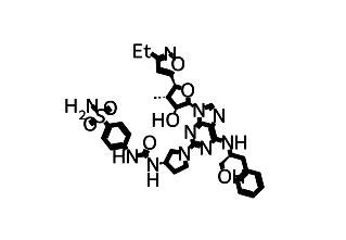 CCc1cc([C@H]2O[C@@H](n3cnc4c(N[C@H](CO)Cc5ccccc5)nc(N5CC[C@H](NC(=O)Nc6ccc(S(N)(=O)=O)cc6)C5)nc43)[C@H](O)[C@@H]2C)on1